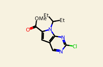 CCC(CC)n1c(C(=O)OC)cc2cnc(Cl)nc21